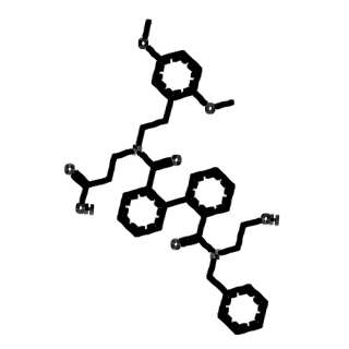 COc1ccc(OC)c(CCN(CCC(=O)O)C(=O)c2ccccc2-c2ccccc2C(=O)N(CCO)Cc2ccccc2)c1